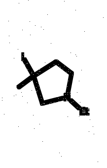 CCN1CCC(C)(I)C1